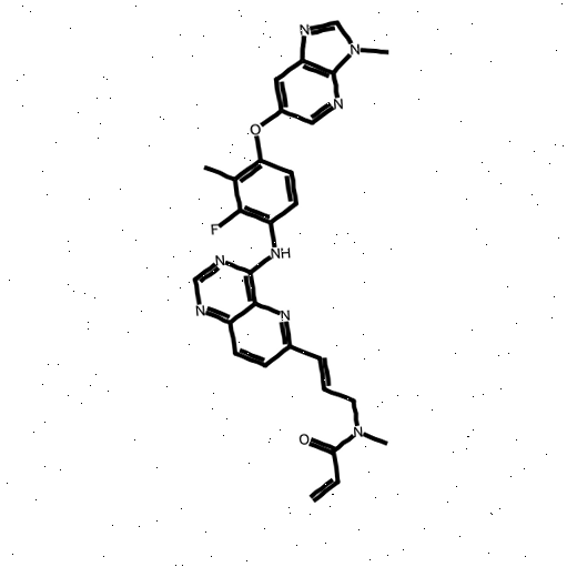 C=CC(=O)N(C)CC=Cc1ccc2ncnc(Nc3ccc(Oc4cnc5c(c4)ncn5C)c(C)c3F)c2n1